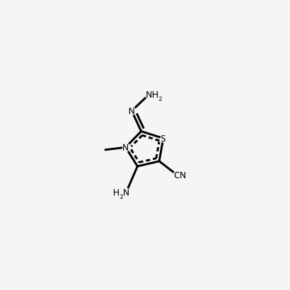 Cn1c(N)c(C#N)sc1=NN